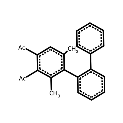 CC(=O)c1cc(C)c(-c2ccccc2-c2ccccc2)c(C)c1C(C)=O